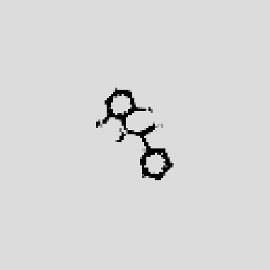 CC(C)c1cccc(C(C)C)c1N(C)C(=N)c1ccccc1